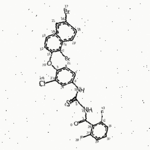 O=C(NC(=S)Nc1ccc(Oc2ccc3cc(Br)ccc3c2Br)c(Cl)c1)c1c(F)cccc1F